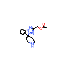 CC(=O)OCc1nnn(C2(c3ccccc3)CCNCC2)n1